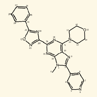 Cn1c(-c2ccncc2)nc2c(N3CCOCC3)nc(-c3noc(-c4ccccc4)n3)nc21